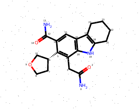 NC(=O)Cc1c([C@@H]2CCOC2)c(C(N)=O)cc2c3c([nH]c12)CCCC3